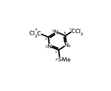 CSc1nc(C(Cl)(Cl)Cl)nc(C(Cl)(Cl)Cl)n1